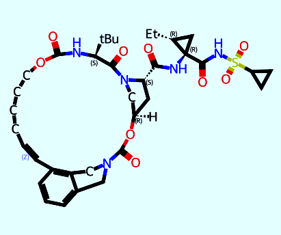 CC[C@@H]1C[C@]1(NC(=O)[C@@H]1C[C@@H]2CN1C(=O)[C@H](C(C)(C)C)NC(=O)OCCCC/C=C\c1cccc3c1CN(C3)C(=O)O2)C(=O)NS(=O)(=O)C1CC1